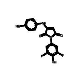 O=C1C=C(Nc2ccc(O)cc2)C(=O)N1c1cc(F)c(O)c(F)c1